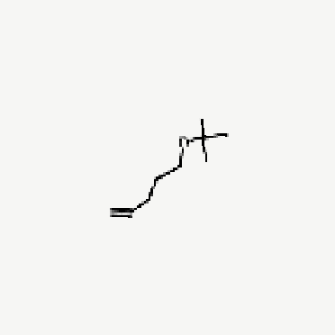 C#CCCCOC(C)(C)C